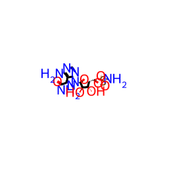 NC(=O)c1nn([C@@H]2O[C@H](COS(N)(=O)=O)[C@H](O)[C@H]2O)c2ncnc(N)c12